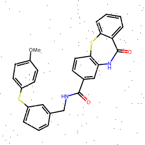 COc1ccc(Sc2cccc(CNC(=O)c3ccc4c(c3)NC(=O)c3ccccc3S4)c2)cc1